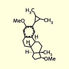 COc1cc2c(cc1C1C(C)C1C)[C@H]1CC[C@]3(C)[C@@H](OC)CC[C@H]3[C@@H]1CC2